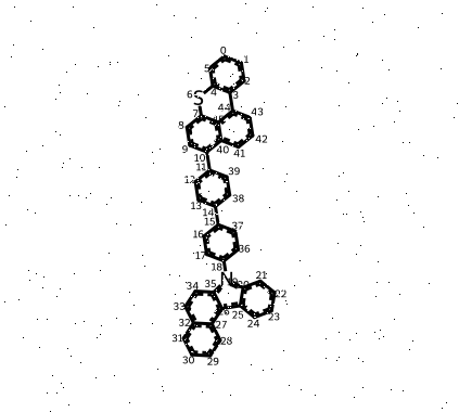 c1ccc2c(c1)Sc1ccc(-c3ccc(-c4ccc(-n5c6ccccc6c6c7ccccc7ccc65)cc4)cc3)c3cccc-2c13